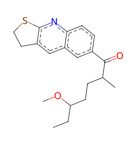 CCC(CCC(C)C(=O)c1ccc2nc3c(cc2c1)CCS3)OC